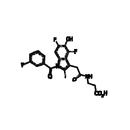 Cc1c(CC(=O)NCCC(=O)O)c2c(F)c(O)c(F)cc2n1C(=O)c1cccc(F)c1